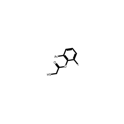 CC(=O)c1cccc(I)c1OC(=O)CS